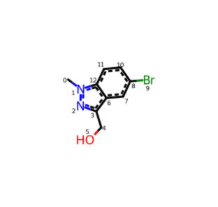 Cn1nc(CO)c2cc(Br)ccc21